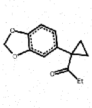 CCC(=O)C1(c2ccc3c(c2)OCO3)CC1